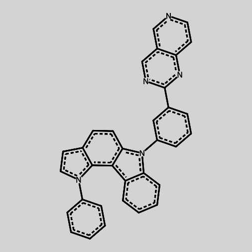 c1ccc(-n2ccc3ccc4c(c5ccccc5n4-c4cccc(-c5ncc6cnccc6n5)c4)c32)cc1